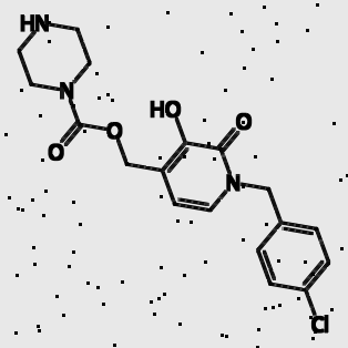 O=C(OCc1ccn(Cc2ccc(Cl)cc2)c(=O)c1O)N1CCNCC1